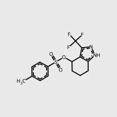 Cc1ccc(S(=O)(=O)OC2CCCc3[nH]nc(C(F)(F)F)c32)cc1